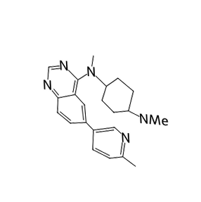 CNC1CCC(N(C)c2ncnc3ccc(-c4ccc(C)nc4)cc23)CC1